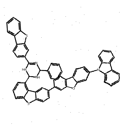 c1ccc(C2N=C(c3ccc4c(c3)sc3ccccc34)NC(c3cccc4sc5ccc(-c6ccc7c(c6)oc6cc(-n8c9ccccc9c9ccccc98)ccc67)cc5c34)N2)cc1